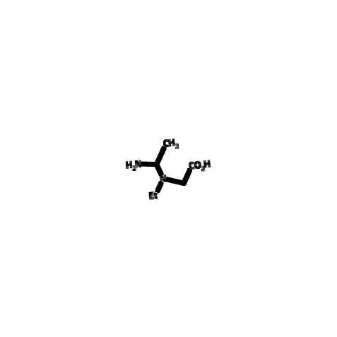 CCN(CC(=O)O)C(C)N